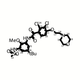 COc1c(NC(=O)C(=O)c2ccc(OCCN3CCOCC3)c(Cl)c2Cl)cc(C(C)(C)C)cc1NS(C)(=O)=O